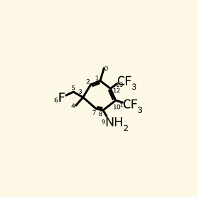 CC1=CC(C)(CF)C=C(N)C(C(F)(F)F)=C1C(F)(F)F